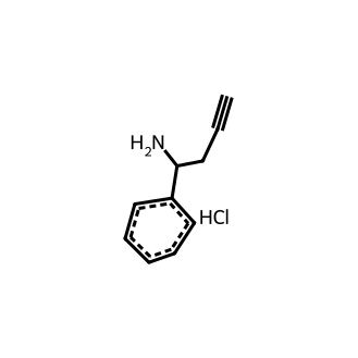 C#CCC(N)c1ccccc1.Cl